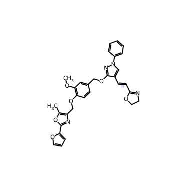 COc1cc(COc2nn(-c3ccccc3)cc2/C=C/C2=NCCO2)ccc1OCc1nc(-c2ccco2)oc1C